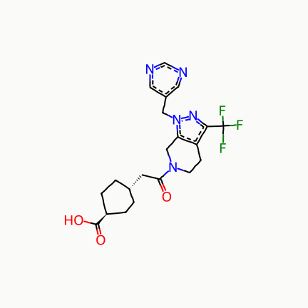 O=C(C[C@H]1CC[C@H](C(=O)O)CC1)N1CCc2c(C(F)(F)F)nn(Cc3cncnc3)c2C1